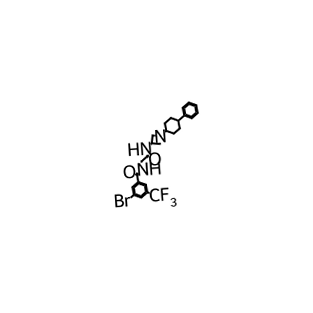 O=C(CNC(=O)c1cc(Br)cc(C(F)(F)F)c1)NC1CN(C2CCC(c3ccccc3)CC2)C1